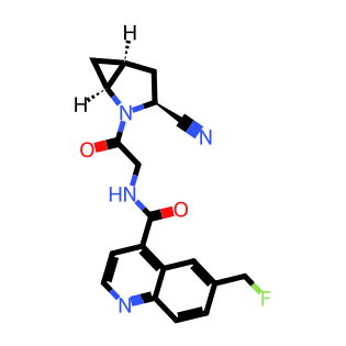 N#C[C@@H]1C[C@@H]2C[C@@H]2N1C(=O)CNC(=O)c1ccnc2ccc(CF)cc12